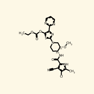 CCOC(=O)Oc1sc(N2CC[C@@H](NC(=O)c3[nH]c(C)c(Cl)c3C#N)[C@@H](OC)C2)nc1-c1ncccn1